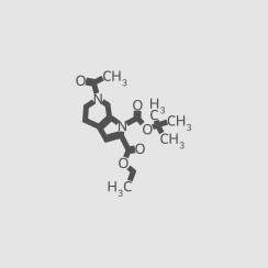 CCOC(=O)c1cc2c(n1C(=O)OC(C)(C)C)CN(C(C)=O)CC2